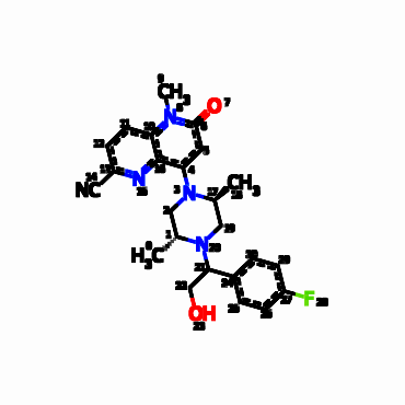 C[C@@H]1CN(c2cc(=O)n(C)c3ccc(C#N)nc23)[C@@H](C)CN1C(CO)c1ccc(F)cc1